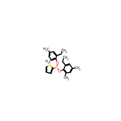 CCc1cc(C)cc(C)c1OP(Oc1c(C)cc(C)cc1CC)c1cccs1